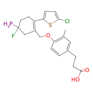 Cc1cc(CCC(=O)O)ccc1OCC1=C(c2ccc(Cl)s2)CCC(F)(P)C1